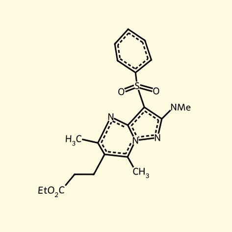 CCOC(=O)CCc1c(C)nc2c(S(=O)(=O)c3ccccc3)c(NC)nn2c1C